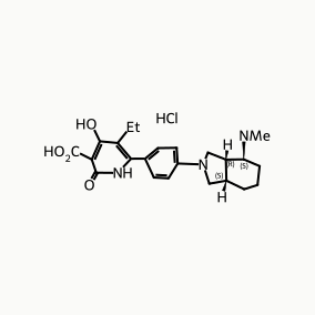 CCc1c(-c2ccc(N3C[C@H]4CCC[C@H](NC)[C@H]4C3)cc2)[nH]c(=O)c(C(=O)O)c1O.Cl